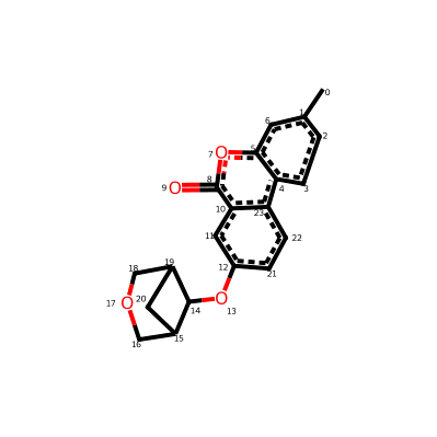 Cc1ccc2c(c1)oc(=O)c1cc(OC3C4COCC3C4)ccc12